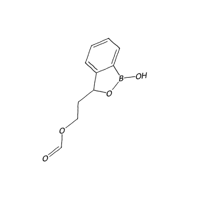 O=COCCC1OB(O)c2ccccc21